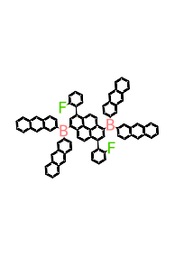 Fc1ccccc1-c1cc(B(c2ccc3cc4ccccc4cc3c2)c2ccc3cc4ccccc4cc3c2)c2ccc3c(-c4ccccc4F)cc(B(c4ccc5cc6ccccc6cc5c4)c4ccc5cc6ccccc6cc5c4)c4ccc1c2c43